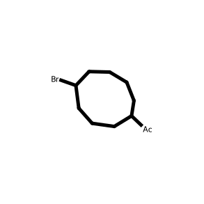 CC(=O)C1CCCCC(Br)CCC1